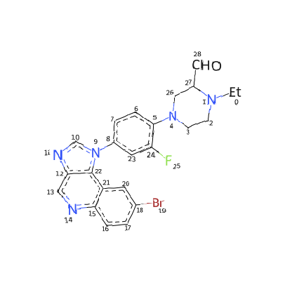 CCN1CCN(c2ccc(-n3cnc4cnc5ccc(Br)cc5c43)cc2F)CC1C=O